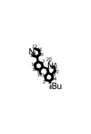 CCC(C)c1ccc2c(-c3cc(-c4cccnc4)ccc3C)[n+](C)ccc2c1